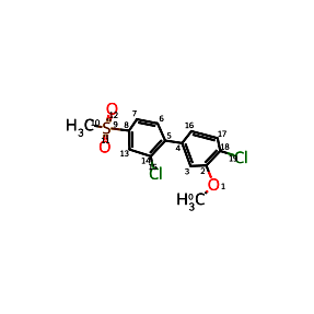 COc1cc(-c2ccc(S(C)(=O)=O)cc2Cl)ccc1Cl